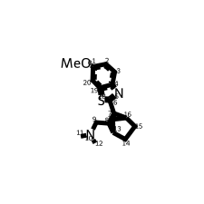 COc1ccc2nc(C3=C(CN(C)C)C4CCC3C4)sc2c1